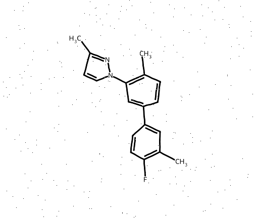 Cc1ccn(-c2cc(-c3ccc(F)c(C)c3)ccc2C)n1